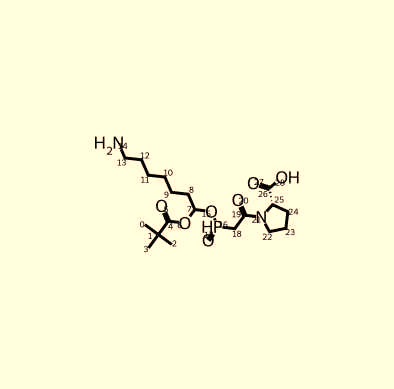 CC(C)(C)C(=O)OC(CCCCCCN)O[PH](=O)CC(=O)N1CCC[C@H]1C(=O)O